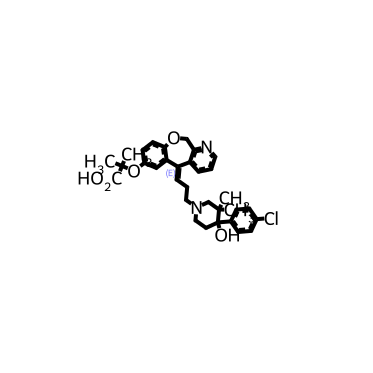 CC(C)(Oc1ccc2c(c1)/C(=C/CCN1CCC(O)(c3ccc(Cl)cc3)C(C)(C)C1)c1cccnc1CO2)C(=O)O